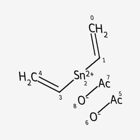 C=[CH][Sn+2][CH]=C.CC(=O)[O-].CC(=O)[O-]